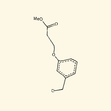 COC(=O)CCOc1cccc(CCl)c1